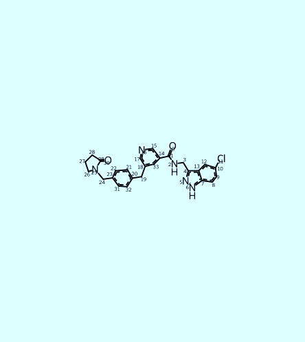 O=C(NCc1n[nH]c2ccc(Cl)cc12)c1cncc(Cc2ccc(CN3CCCC3=O)cc2)c1